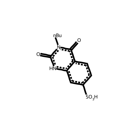 CCCCn1c(=O)[nH]c2cc(S(=O)(=O)O)ccc2c1=O